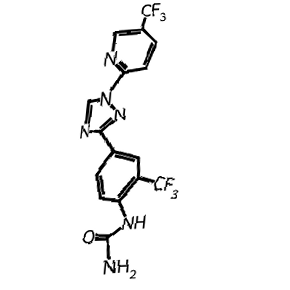 NC(=O)Nc1ccc(-c2ncn(-c3ccc(C(F)(F)F)cn3)n2)cc1C(F)(F)F